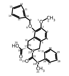 COc1ccc2c(c1OCc1ccccc1)C[C@@H](C(=O)O)N(C(=O)N(C)c1ccccc1)C2